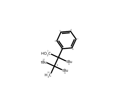 CC(C)(C)C(C(=O)O)(c1ccccc1)C(C)(C(C)(C)C)C(C)(C)C